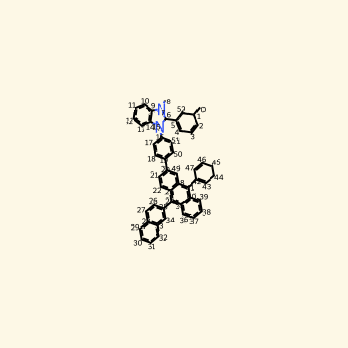 CC1C=CC=C(C2N(C)c3ccccc3N2c2ccc(-c3ccc4c(-c5ccc6ccccc6c5)c5ccccc5c(C5=CCCC=C5)c4c3)cc2)C1